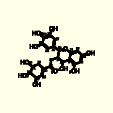 O=C(CC1C(O)c2c(O)cc(O)cc2OC1c1cc(O)c(O)c(O)c1)C1=CC(O)C(O)C(O)C1